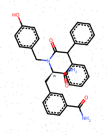 NC(=O)c1cccc(C[C@H](C(N)=O)N(Cc2ccc(O)cc2)C(=O)C(c2ccccc2)c2ccccc2)c1